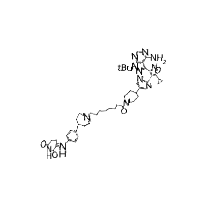 CC(C)(C)n1nc(-c2noc(C3CC3)c2-c2ncc(C3CCN(C(=O)CCCCCCCN4CCC(c5ccc(N[C@H]6CCC(=O)NC6=O)cc5)CC4)CC3)cn2)c2c(N)ncnc21